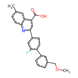 COCc1cccc(-c2ccc(-c3cc(C(=O)O)c4cc(C)ccc4n3)cc2F)c1